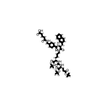 CC(C)(C)OC(=O)CC[C@H](NC(=O)N[C@@H](CCCCNC(=O)[C@H](Cc1ccc2ccccc2c1)NC(=O)C1CCC(CNC(=O)CCCC(=O)O)CC1)C(=O)OC(C)(C)C)C(=O)OC(C)(C)C